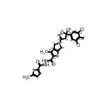 Cc1ccc(C(=O)NNC(=O)c2sc3c(c2C)CN(C2=NOC(c4cc(Cl)c(F)c(Cl)c4)(C(F)(F)F)C2)C3)s1